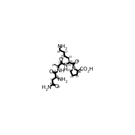 C[C@H](NC(=O)[C@@H](N)CC(N)=O)C(=O)N[C@@H](CCCCN)C(=O)N1CCC[C@@H]1C(=O)O